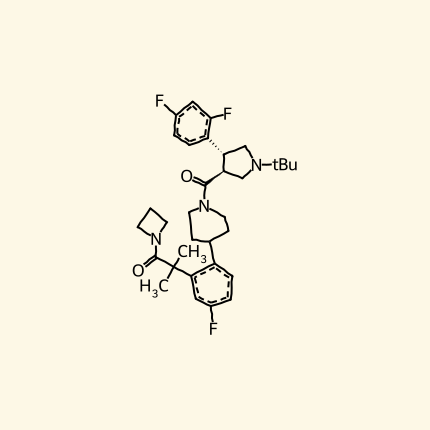 CC(C)(C(=O)N1CCC1)c1cc(F)ccc1C1CCN(C(=O)[C@@H]2CN(C(C)(C)C)C[C@H]2c2ccc(F)cc2F)CC1